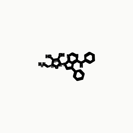 NC[C@H]1O[C@@H](n2cc(-c3ccccc3)c3c(Nc4ccccc4)ncnc32)[C@H](O)[C@@H]1O